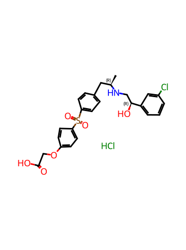 C[C@H](Cc1ccc(S(=O)(=O)c2ccc(OCC(=O)O)cc2)cc1)NC[C@H](O)c1cccc(Cl)c1.Cl